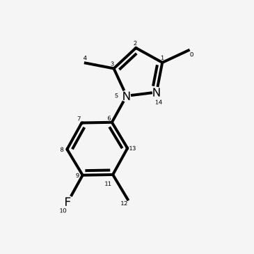 Cc1cc(C)n(-c2ccc(F)c(C)c2)n1